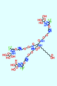 O=C(O)CCCCCCCCCCC(=O)NC(CCC(=O)NCCOCCOCCn1cc(COc2cc(C(F)(F)F)nc(N[C@H]3CO[C@H](CO)[C@H](O)[C@@H]3O)n2)nn1)(CCC(=O)NCCOCCOCCn1cc(COc2cc(C(F)(F)F)nc(N[C@H]3CO[C@H](CO)[C@H](O)[C@@H]3O)n2)nn1)CCC(=O)NCCOCCOCCn1cc(COc2cc(C(F)(F)F)nc(N[C@H]3CO[C@H](CO)[C@H](O)[C@@H]3O)n2)nn1